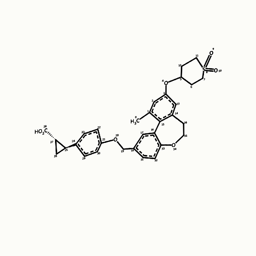 Cc1cc(OC2CCS(=O)(=O)CC2)cc2c1-c1cc(COc3ccc([C@H]4C[C@@H]4C(=O)O)cc3)ccc1OCC2